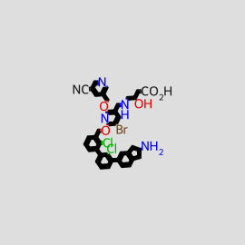 N#Cc1cncc(COc2nc(OCc3cccc(-c4cccc(-c5ccc6c(c5)C[C@@H](N)C6)c4Cl)c3Cl)c(Br)cc2CNC[C@@H](O)CC(=O)O)c1